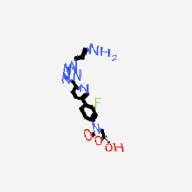 NCCCn1nnc(-c2ccc(-c3ccc(N4C[C@H](CO)OC4=O)cc3F)cn2)n1